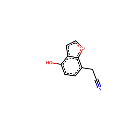 N#CCc1ccc(O)c2ccoc12